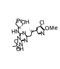 COc1ncc([C@@H](C)Cc2nc(N[C@@H](CO)CC(C)C)nc(NS(C)(=O)=O)n2)cc1Cl